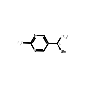 CC(C)(C)[C@H](C(=O)O)c1cnc(C(F)(F)F)nc1